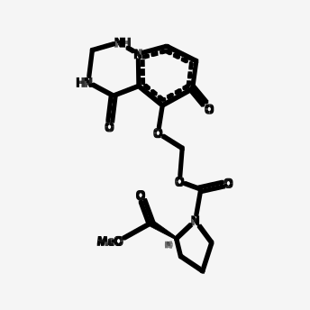 COC(=O)[C@@H]1CCCN1C(=O)OCOc1c2n(ccc1=O)NCNC2=O